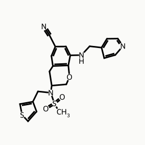 CS(=O)(=O)N(Cc1ccsc1)C1COc2c(cc(C#N)cc2NCc2ccncc2)C1